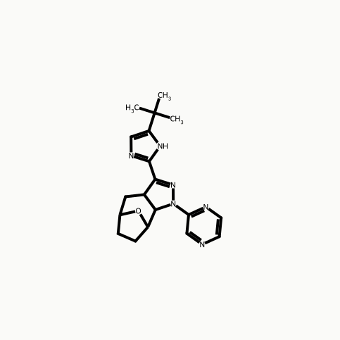 CC(C)(C)c1cnc(C2=NN(c3cnccn3)C3C4CCC(CC23)O4)[nH]1